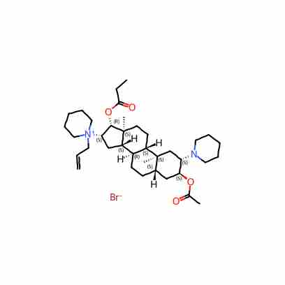 C=CC[N+]1([C@H]2C[C@H]3[C@@H]4CC[C@H]5C[C@H](OC(C)=O)[C@@H](N6CCCCC6)C[C@]5(C)[C@H]4CC[C@]3(C)[C@H]2OC(=O)CC)CCCCC1.[Br-]